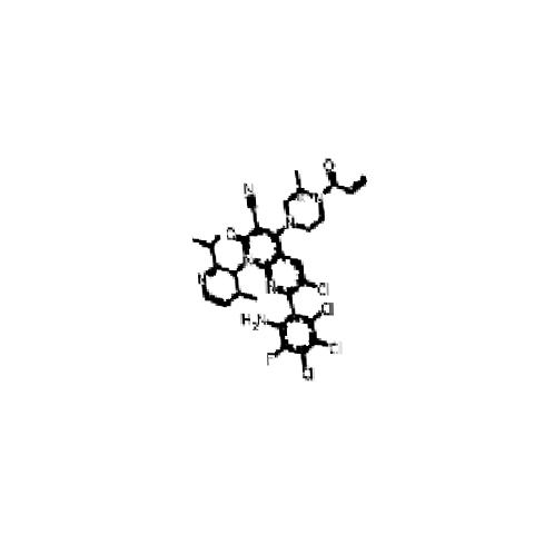 C=CC(=O)N1CCN(c2c(C#N)c(=O)n(C3C(C(C)C)=NC=CC3C)c3nc(-c4c(N)c(F)c(Cl)c(Cl)c4Cl)c(Cl)cc23)C[C@H]1C